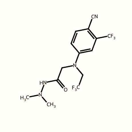 CN(C)NC(=O)CN(CC(F)(F)F)c1ccc(C#N)c(C(F)(F)F)c1